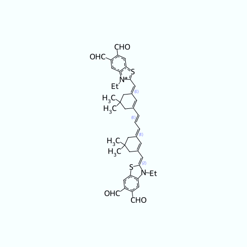 CCN1/C(=C/C2=CC(=C/C=C/C3=CC(=C/c4sc5cc(C=O)c(C=O)cc5[n+]4CC)/CC(C)(C)C3)/CC(C)(C)C2)Sc2cc(C=O)c(C=O)cc21